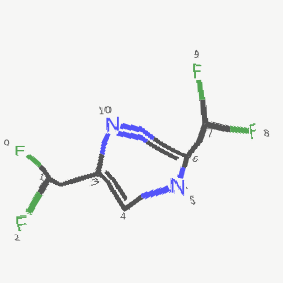 FC(F)C1=[C][N]C(C(F)F)=N1